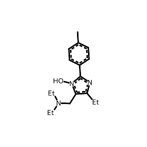 CCc1nc(-c2ccc(C)cc2)n(O)c1CN(CC)CC